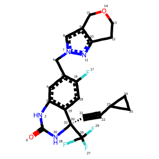 O=C1Nc2cc(Cn3cc4c(n3)CCOC4)c(F)cc2[C@@](C#CC2CC2)(C(F)(F)F)N1